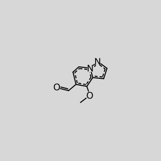 COc1c(C=O)ccn2nccc12